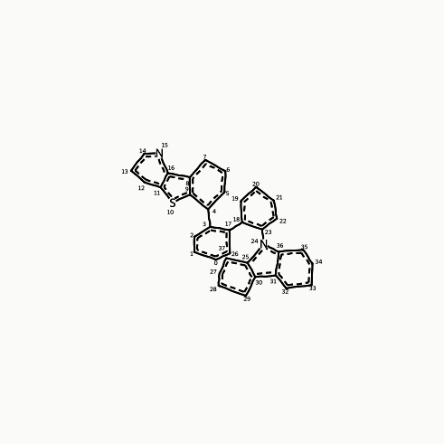 c1ccc(-c2cccc3c2sc2cccnc23)c(-c2ccccc2-n2c3ccccc3c3ccccc32)c1